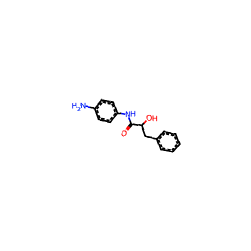 Nc1ccc(NC(=O)C(O)Cc2ccccc2)cc1